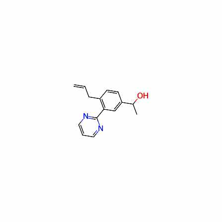 C=CCc1ccc(C(C)O)cc1-c1ncccn1